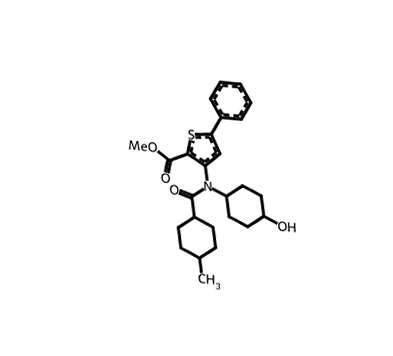 COC(=O)c1sc(-c2ccccc2)cc1N(C(=O)C1CCC(C)CC1)C1CCC(O)CC1